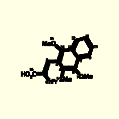 CCC/C(=C\c1c(SC)c(OC)c2ccccc2c1OC)C(=O)O